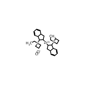 CC[Si]1(C2[CH]([Zr+2][CH]3CC4C=CC=CC4C3[Si]3(CC)CCC3)CC3C=CC=CC32)CCC1.[Cl-].[Cl-]